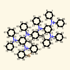 c1ccc(N(c2ccccc2)c2cc3c4c(c2)N(c2ccccc2)c2cc5c(cc2B4c2ccccc2N3c2ccccc2)B2c3cccc4c3N(c3ccccc3S4)c3cc(N(c4ccccc4)c4ccccc4)cc(c32)N5c2ccccc2)cc1